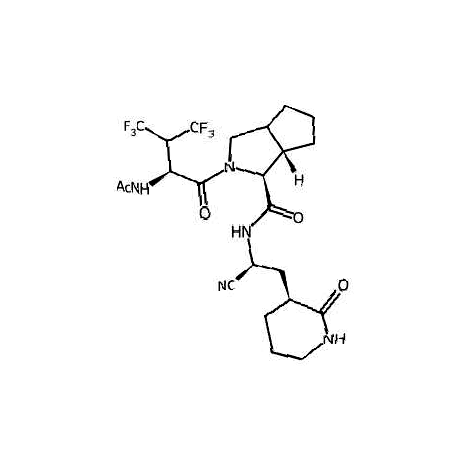 CC(=O)N[C@H](C(=O)N1CC2CCC[C@@H]2[C@H]1C(=O)N[C@H](C#N)C[C@@H]1CCCNC1=O)C(C(F)(F)F)C(F)(F)F